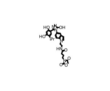 CC(C)c1cc(-c2nnc(O)n2-c2ccc3c(ccn3CCNC(=O)CCCN3C(=O)COC3=O)c2)c(O)cc1O